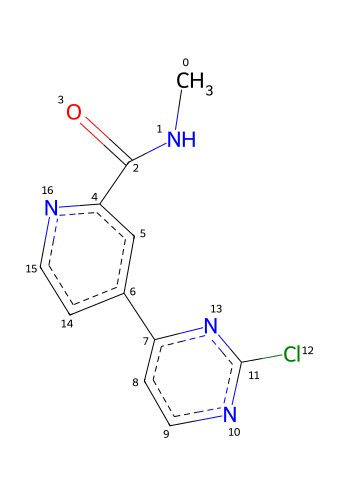 CNC(=O)c1cc(-c2ccnc(Cl)n2)ccn1